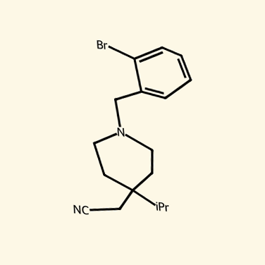 CC(C)C1(CC#N)CCN(Cc2ccccc2Br)CC1